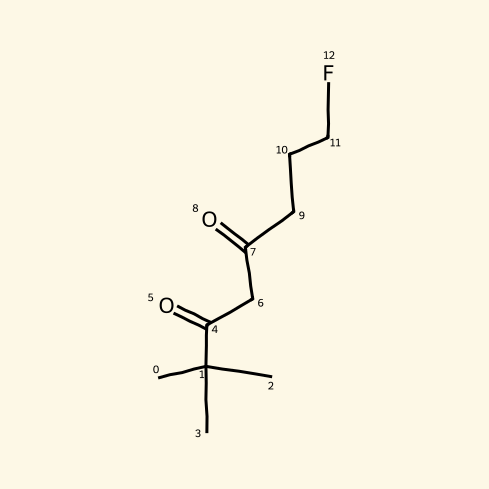 CC(C)(C)C(=O)CC(=O)CCCF